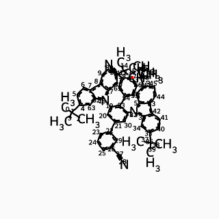 CC(C)(C)c1ccc2c3ccc(C(C)(C)C)cc3n(-c3cc(-c4cccc(C#N)c4)cc(-n4c5cc(C(C)(C)C)ccc5c5ccc(C(C)(C)C)cc54)c3-c3cccc(C#N)c3)c2c1